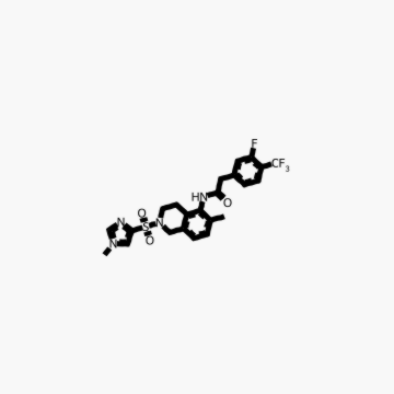 Cc1ccc2c(c1NC(=O)Cc1ccc(C(F)(F)F)c(F)c1)CCN(S(=O)(=O)c1cn(C)cn1)C2